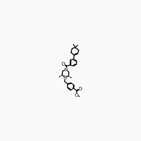 COC(=O)c1ccc(CN2[C@H](C)CN(C(=O)c3cccc(C4=CCC(C)(C)CC4)c3)C[C@@H]2C)cc1